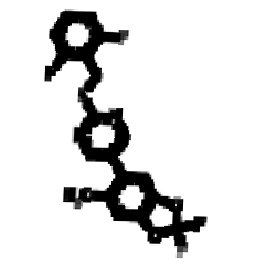 Cc1cc2c(cc1-c1cnc(SCc3c(F)cccc3F)nc1)OC(F)(F)O2